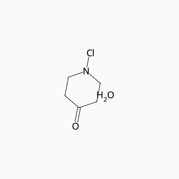 O.O=C1CCN(Cl)CC1